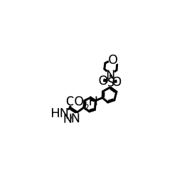 O=C(O)c1[nH]nnc1-c1ccc(-c2cccc(S(=O)(=O)N3CCOCC3)c2)cc1